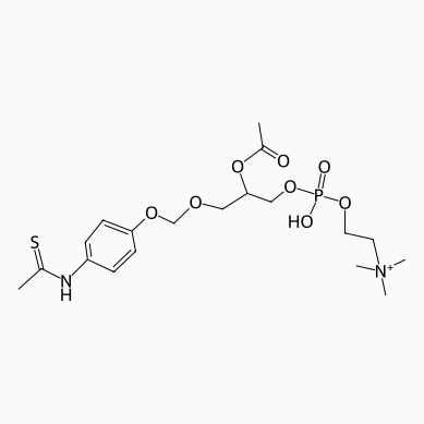 CC(=O)OC(COCOc1ccc(NC(C)=S)cc1)COP(=O)(O)OCC[N+](C)(C)C